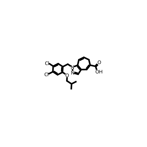 CC(C)COc1cc(Cl)c(Cl)cc1Cn1ncc2c1C=CCC(C(=O)O)=C2